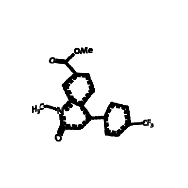 COC(=O)c1ccc2c(-c3ccc(C(F)(F)F)cc3)cc(=O)n(C)c2c1